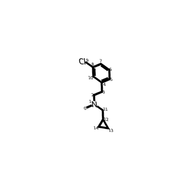 CN(CCc1cccc(Cl)c1)CC1CC1